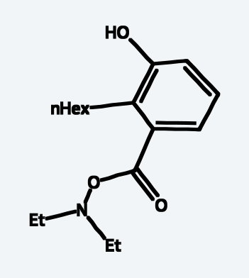 CCCCCCc1c(O)cccc1C(=O)ON(CC)CC